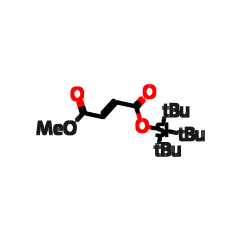 COC(=O)C=CC(=O)O[Si](C(C)(C)C)(C(C)(C)C)C(C)(C)C